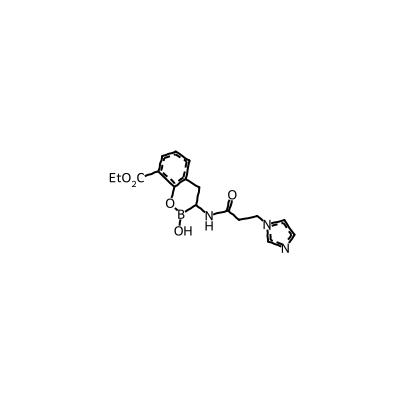 CCOC(=O)c1cccc2c1OB(O)C(NC(=O)CCn1ccnc1)C2